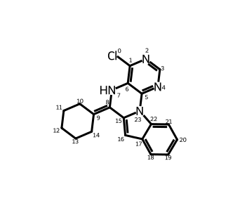 Clc1ncnc2c1NC(=C1CCCCC1)c1cc3ccccc3n1-2